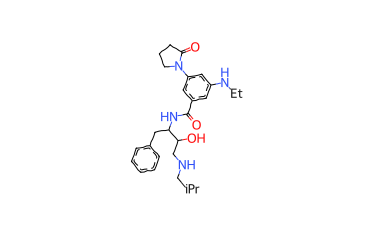 CCNc1cc(C(=O)NC(Cc2ccccc2)C(O)CNCC(C)C)cc(N2CCCC2=O)c1